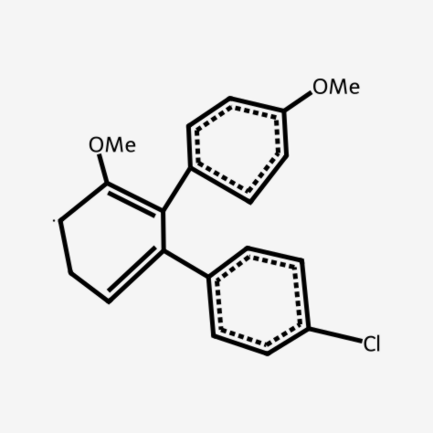 COC1=C(c2ccc(OC)cc2)C(c2ccc(Cl)cc2)=CC[CH]1